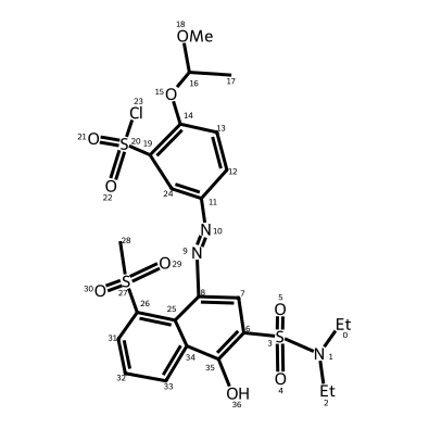 CCN(CC)S(=O)(=O)c1cc(N=Nc2ccc(OC(C)OC)c(S(=O)(=O)Cl)c2)c2c(S(C)(=O)=O)cccc2c1O